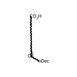 CCCCCCCCCCCCCCCCCC(=O)OCCCCCCCCCCCCCCCCCCCCCCCCCCCCCC(=O)O